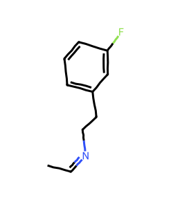 C/C=N\CCc1cccc(F)c1